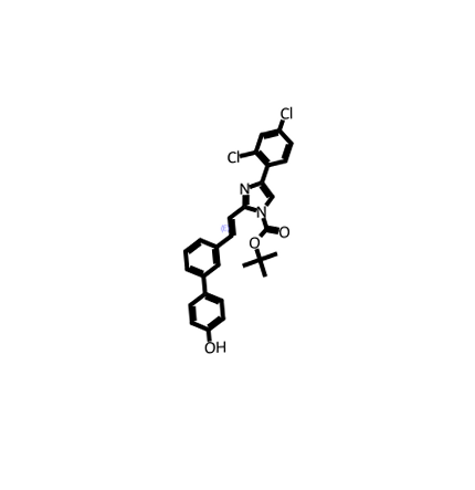 CC(C)(C)OC(=O)n1cc(-c2ccc(Cl)cc2Cl)nc1/C=C/c1cccc(-c2ccc(O)cc2)c1